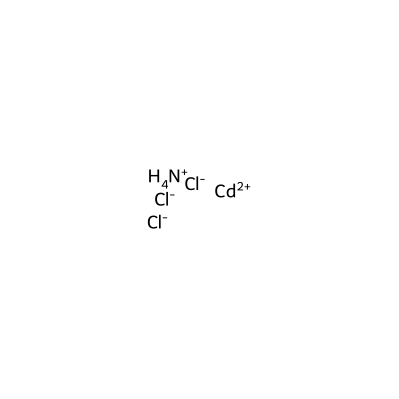 [Cd+2].[Cl-].[Cl-].[Cl-].[NH4+]